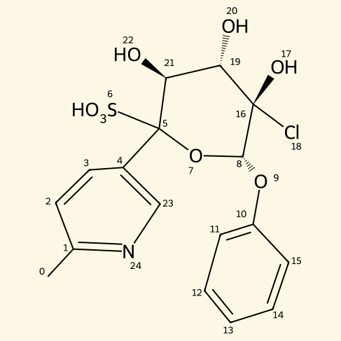 Cc1ccc(C2(S(=O)(=O)O)O[C@@H](Oc3ccccc3)[C@@](O)(Cl)[C@@H](O)[C@@H]2O)cn1